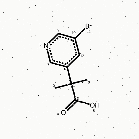 CC(C)(C(=O)O)c1cncc(Br)c1